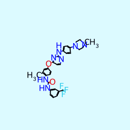 Cc1cc(Oc2ccnc(Nc3ccc(N4CCN(C)CC4)cc3)n2)ccc1NC(=O)Nc1cccc(C(F)(F)F)c1